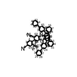 N#Cc1ccc(-c2cc(-n3c4cc(-c5ccccc5)ccc4c4ccc(-c5ccccc5)cc43)c(-n3c4cc(-c5ccccc5)ccc4c4ccc(-c5ccccc5)cc43)cc2C#N)c(C(F)(F)F)c1